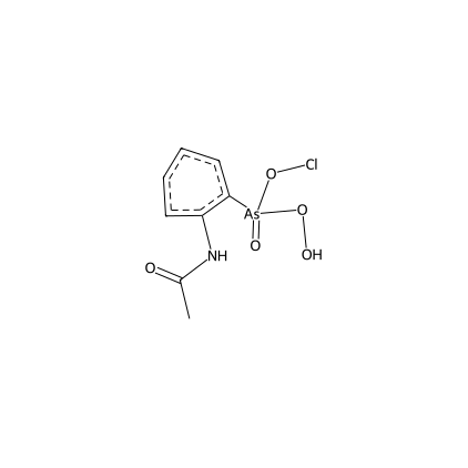 CC(=O)Nc1ccccc1[As](=O)(OO)OCl